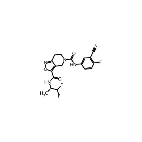 C[C@@H](NC(=O)c1onc2c1CN(C(=O)Nc1ccc(F)c(C#N)c1)CC2)C(F)F